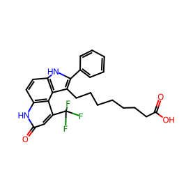 O=C(O)CCCCCCCc1c(-c2ccccc2)[nH]c2ccc3[nH]c(=O)cc(C(F)(F)F)c3c12